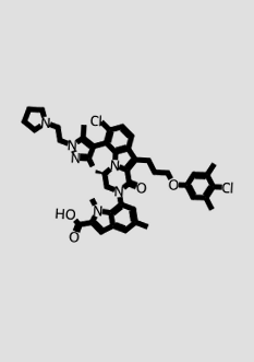 Cc1cc(N2C[C@@H](C)n3c(c(CCCOc4cc(C)c(Cl)c(C)c4)c4ccc(Cl)c(-c5c(C)nn(CCN6CCCC6)c5C)c43)C2=O)c2c(c1)cc(C(=O)O)n2C